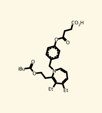 CCC1=CC=CN(Cc2ccc(OC(=O)CCC(=O)O)cc2)C(CCOC(=O)C(C)CC)=C1CC